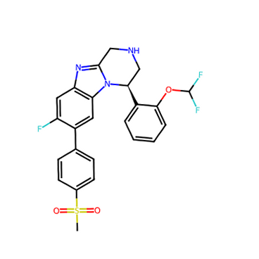 CS(=O)(=O)c1ccc(-c2cc3c(cc2F)nc2n3[C@H](c3ccccc3OC(F)F)CNC2)cc1